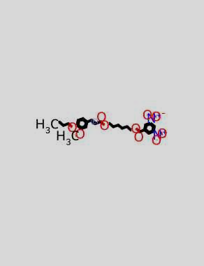 CCCCOc1ccc(/C=C/C(=O)OCCCCCCOC(=O)c2cc([N+](=O)[O-])cc([N+](=O)[O-])c2)cc1OC